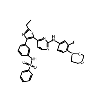 CCc1nc(-c2cccc(NS(=O)(=O)c3ccccc3)c2)c(-c2ccnc(Nc3ccc(N4CCOCC4)c(F)c3)n2)s1